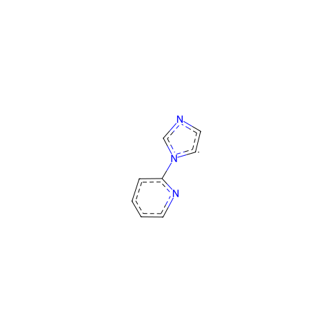 [c]1cncn1-c1ccccn1